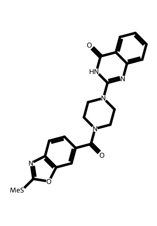 CSc1nc2ccc(C(=O)N3CCN(c4nc5ccccc5c(=O)[nH]4)CC3)cc2o1